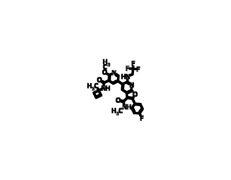 CNC(=O)c1c(-c2ccc(F)cc2)oc2nc(NCC(F)(F)F)c(-c3cnc(OC)c(C(=O)NC4(C)C=CC4)c3)cc12